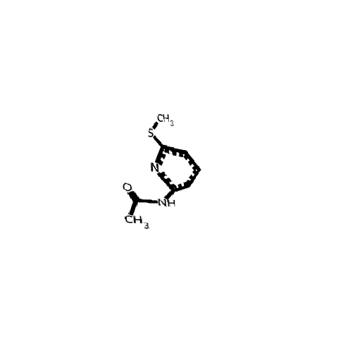 CSc1cccc(NC(C)=O)n1